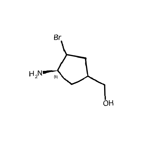 N[C@@H]1CC(CO)CC1Br